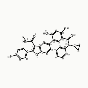 CNC(=O)c1c(-c2ccc(F)cc2)oc2ccc(-c3cc(C(=O)N(c4ccccn4)C4CC4)c(F)cc3O)cc12